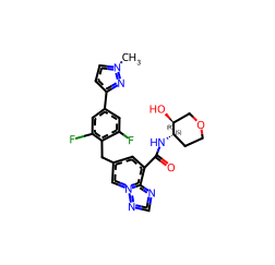 Cn1ccc(-c2cc(F)c(Cc3cc(C(=O)N[C@H]4CCOC[C@@H]4O)c4ncnn4c3)c(F)c2)n1